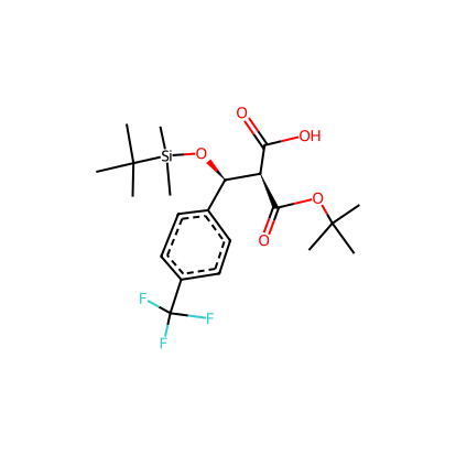 CC(C)(C)OC(=O)[C@H](C(=O)O)[C@H](O[Si](C)(C)C(C)(C)C)c1ccc(C(F)(F)F)cc1